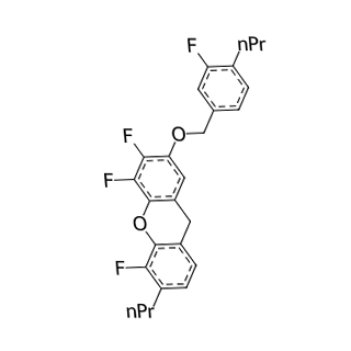 CCCc1ccc(COc2cc3c(c(F)c2F)Oc2c(ccc(CCC)c2F)C3)cc1F